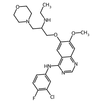 CCNC(COc1cc2c(Nc3ccc(F)c(Cl)c3)ncnc2cc1OC)CN1CCOCC1